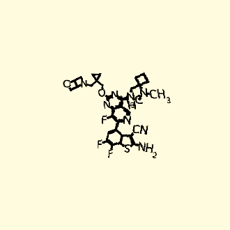 CN(C)C1(CNc2nc(OCC3(CN4CC5OCC54)CC3)nc3c(F)c(C4=CC(F)=C(F)C5SC(N)=C(C#N)C45)ncc23)CCC1